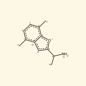 Cc1ccc(C)c2oc(C(C)N)cc12